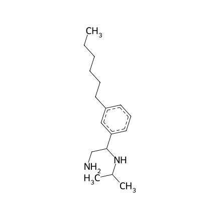 CCCCCCc1cccc(C(CN)NC(C)C)c1